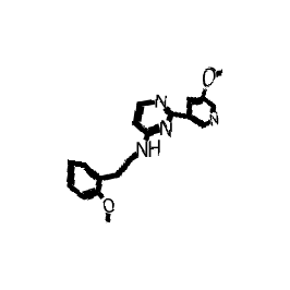 COc1cncc(-c2nccc(NCCc3ccccc3OC)n2)c1